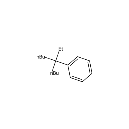 [CH2]CC(CCCC)(CCCC)c1ccccc1